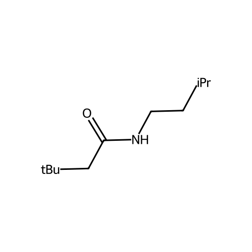 CC(C)CCNC(=O)CC(C)(C)C